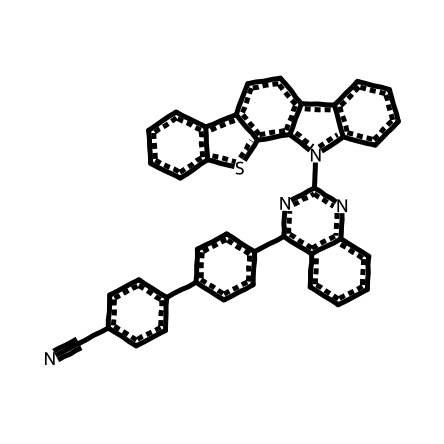 N#Cc1ccc(-c2ccc(-c3nc(-n4c5ccccc5c5ccc6c7ccccc7sc6c54)nc4ccccc34)cc2)cc1